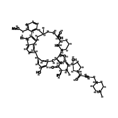 CCn1c(-c2cccnc2COC)c2c3cc(ccc31)-c1cc(O)cc(c1)C[C@H](NC(=O)[C@H](C(C)C)N(C)C(=O)C1(O)CCN(C(=O)C#CCN3CCN(C)CC3)C1)C(=O)N1CCC[C@@](O)(N1)C(=O)OCC(C)(C)C2